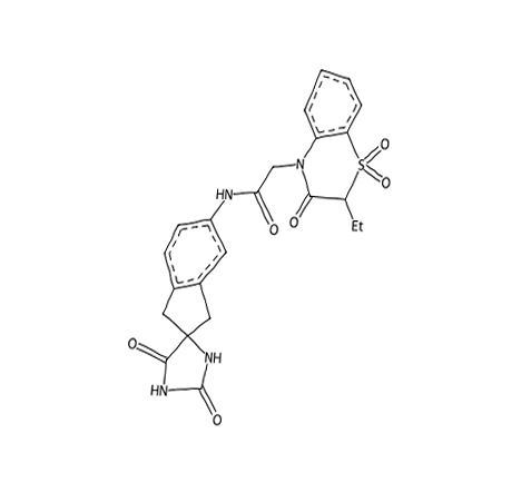 CCC1C(=O)N(CC(=O)Nc2ccc3c(c2)CC2(C3)NC(=O)NC2=O)c2ccccc2S1(=O)=O